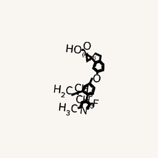 C=CC(C)(C)c1cc(COc2ccc3c(c2)[C@]2(CC3)C[C@H]2C(=O)O)ccc1-c1cc(C)ncc1F